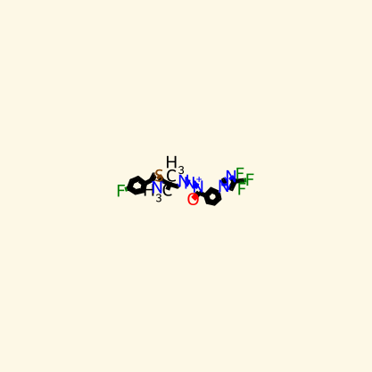 CC(C)(CN=[N+]=NC(=O)c1cccc(-n2cnc(C(F)(F)F)c2)c1)c1nc(-c2ccc(F)cc2)cs1